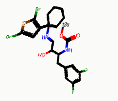 CC(C)(C)OC(=O)NC(Cc1cc(F)cc(F)c1)C(O)CNC1(c2cc(Br)sc2Br)CCCCC1